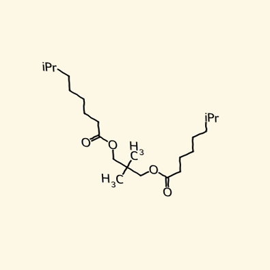 CC(C)CCCCCC(=O)OCC(C)(C)COC(=O)CCCCCC(C)C